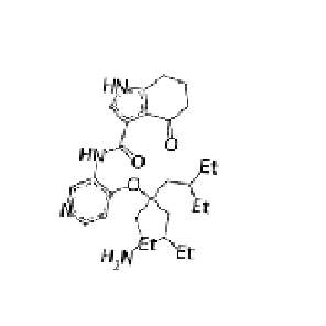 CCC(CC)CC(CCN)(CC(CC)CC)Oc1ccncc1NC(=O)c1c[nH]c2c1C(=O)CCC2